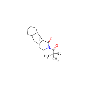 CCC(C)(C)C(=O)N1CCC2C3CC(C4CCCCC34)C2C1=O